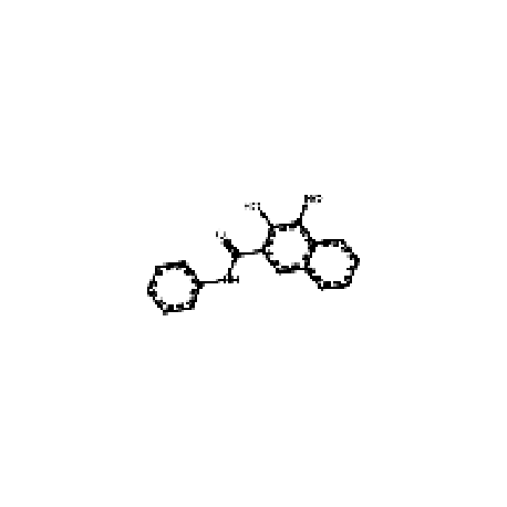 O=Nc1c(O)c(C(=O)Nc2ccccc2)cc2ccccc12